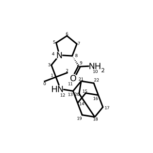 CC(C)(CN1CCC[C@@H]1C(N)=O)NC1C2CC3CC(C2)CC1C3